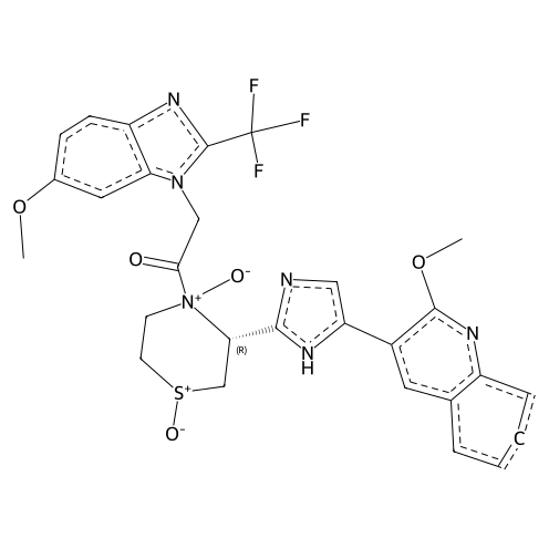 COc1ccc2nc(C(F)(F)F)n(CC(=O)[N+]3([O-])CC[S+]([O-])C[C@H]3c3ncc(-c4cc5ccccc5nc4OC)[nH]3)c2c1